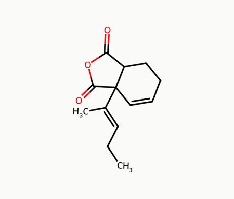 CCC=C(C)C12C=CCCC1C(=O)OC2=O